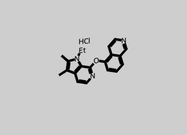 CCn1c(C)c(C)c2ccnc(Oc3cccc4cnccc34)c21.Cl